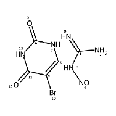 N=C(N)NN=O.O=c1[nH]cc(Br)c(=O)[nH]1